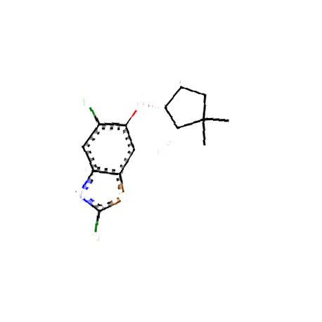 CC1(C)CC[C@@H](Oc2cc3sc(Br)nc3cc2F)[C@H]1O